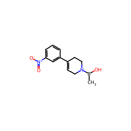 CB(O)N1CC=C(c2cccc([N+](=O)[O-])c2)CC1